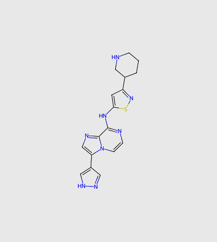 c1cn2c(-c3cn[nH]c3)cnc2c(Nc2cc(C3CCCNC3)ns2)n1